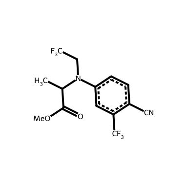 COC(=O)C(C)N(CC(F)(F)F)c1ccc(C#N)c(C(F)(F)F)c1